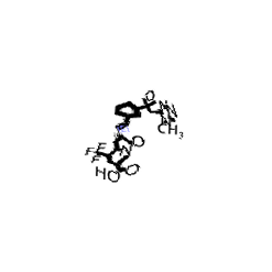 Cn1cnnc1CC1(c2cccc(/C=C/[C@H]3C=C4C(C(F)(F)F)=CC(C(=O)O)=CN4C3=O)c2)COC1